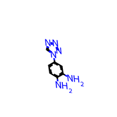 Nc1ccc(-n2cnnn2)cc1N